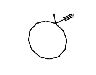 CC1(C#N)CCCCCCCCCCC1